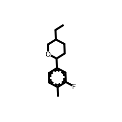 CCC1CCC(c2ccc(C)c(F)c2)OC1